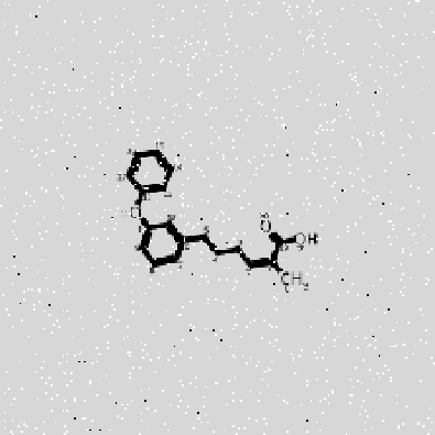 CC(=CCCCc1cccc(Oc2ccccc2)c1)C(=O)O